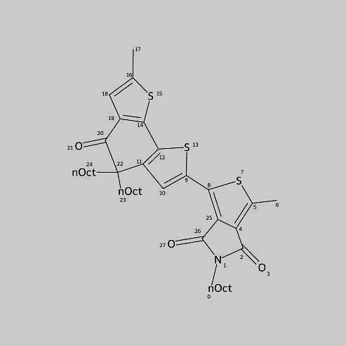 CCCCCCCCN1C(=O)c2c(C)sc(-c3cc4c(s3)-c3sc(C)cc3C(=O)C4(CCCCCCCC)CCCCCCCC)c2C1=O